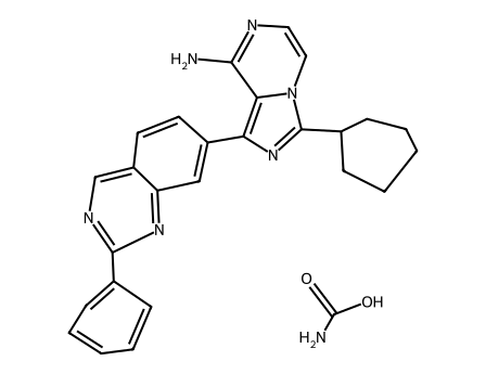 NC(=O)O.Nc1nccn2c(C3CCCCC3)nc(-c3ccc4cnc(-c5ccccc5)nc4c3)c12